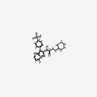 Cc1ccnc2c(-c3ccc(C(F)(F)F)cc3)c(NC(=O)CCC3CCCCC3)nn12